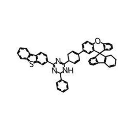 C1=CC2=C(CC1)C1(c3ccccc3Oc3ccc(C4=CCC(C5=NC(c6ccc7c(c6)sc6ccccc67)=NC(c6ccccc6)N5)C=C4)cc31)c1ccccc12